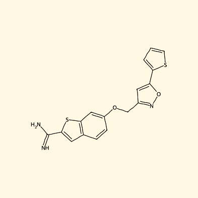 N=C(N)c1cc2ccc(OCc3cc(-c4cccs4)on3)cc2s1